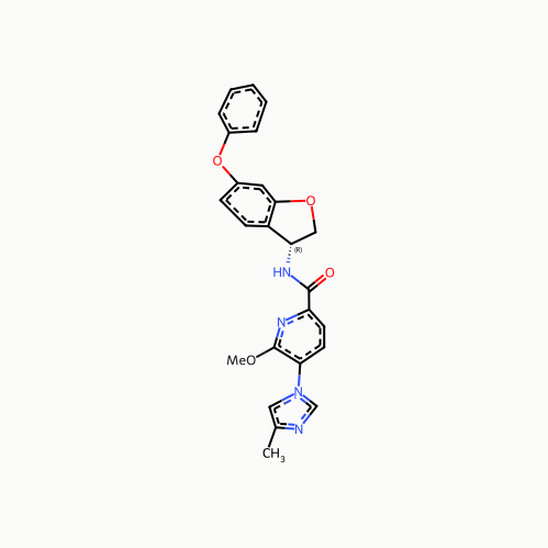 COc1nc(C(=O)N[C@H]2COc3cc(Oc4ccccc4)ccc32)ccc1-n1cnc(C)c1